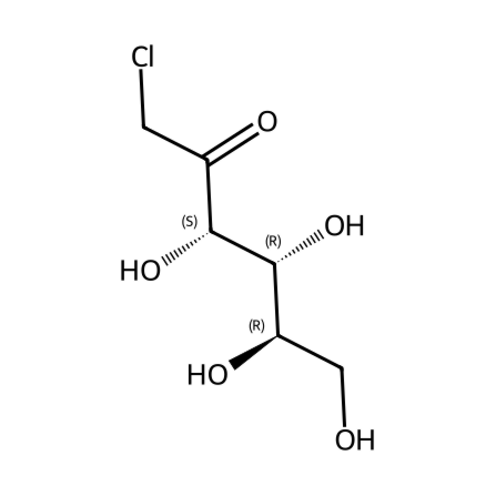 O=C(CCl)[C@@H](O)[C@H](O)[C@H](O)CO